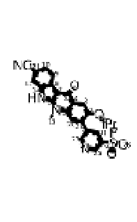 CC(C)Oc1cc2c(=O)c3c4ccc(C#N)cc4[nH]c3n(C)c2cc1-c1cncc(S(=O)(=O)F)c1